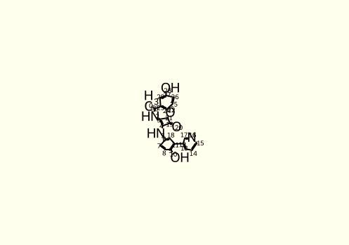 C[C@@H](Nc1c(Nc2ccc(O)c(-c3cccnc3)c2)c(=O)c1=O)c1cccc(O)c1